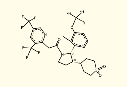 [2H]C([2H])([2H])Oc1cccc([C@@H]2[C@H](C3CCS(=O)(=O)CC3)CCN2C(=O)Cc2ncc(C(F)(F)F)cc2C(F)(F)F)c1C